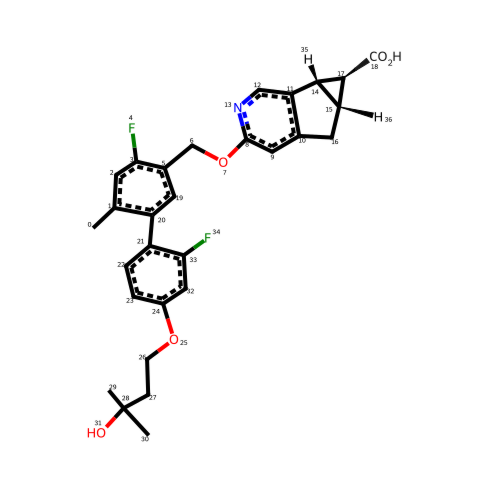 Cc1cc(F)c(COc2cc3c(cn2)[C@H]2[C@@H](C3)[C@@H]2C(=O)O)cc1-c1ccc(OCCC(C)(C)O)cc1F